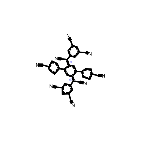 N#C/C(c1cc(C#N)cc(C#N)c1)=c1/cc(-c2ccc(C#N)cc2)/c(=C(\C#N)c2cc(C#N)cc(C#N)c2)cc1-c1ccc(C#N)cc1